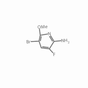 COc1nc(N)c(F)cc1Br